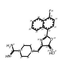 Cl.N=C(N)N1CCN(C=C2N=C(c3ccc(F)c4ccccc34)OC2=O)CC1